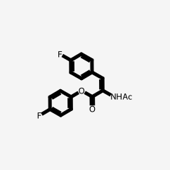 CC(=O)NC(=Cc1ccc(F)cc1)C(=O)Oc1ccc(F)cc1